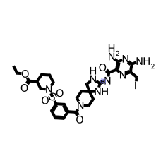 CCOC(=O)C1CCCN(S(=O)(=O)c2cccc(C(=O)N3CCC4(CC3)CN/C(=N\C(=O)c3nc(CI)c(N)nc3N)N4)c2)C1